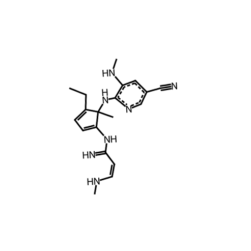 CCC1=CC=C(NC(=N)/C=C\NC)C1(C)Nc1ncc(C#N)cc1NC